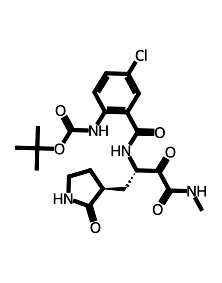 CNC(=O)C(=O)[C@H](C[C@@H]1CCNC1=O)NC(=O)c1cc(Cl)ccc1NC(=O)OC(C)(C)C